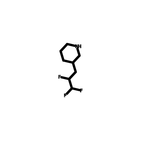 FC(F)C(F)CC1CCCNC1